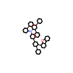 c1ccc(-c2ccc(N(c3ccc(-c4ccc(-c5ccccc5)c(-c5cccc6c5oc5ccccc56)c4)cc3)c3ccccc3-c3ccccc3)c(-c3ccccc3)c2)cc1